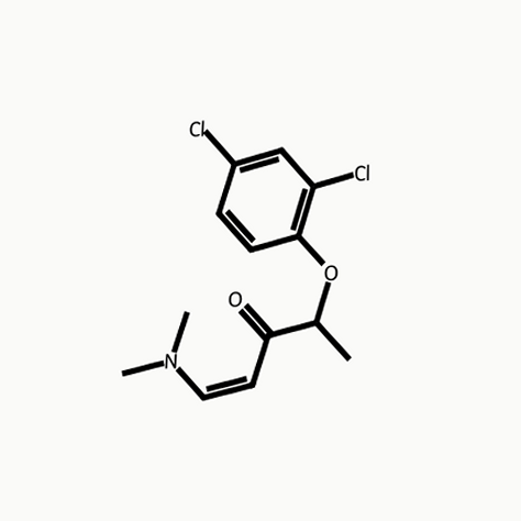 CC(Oc1ccc(Cl)cc1Cl)C(=O)/C=C\N(C)C